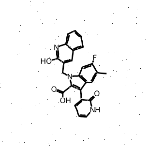 Cc1cc2c(-c3ccc[nH]c3=O)c(C(=O)O)n(Cc3cc4ccccc4nc3O)c2cc1F